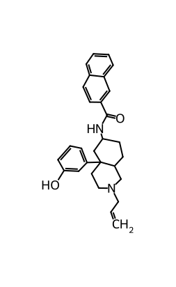 C=CCN1CCC2(c3cccc(O)c3)CC(NC(=O)c3ccc4ccccc4c3)CCC2C1